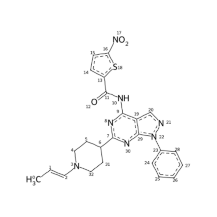 CC=CN1CCC(c2nc(NC(=O)c3ccc([N+](=O)[O-])s3)c3cnn(-c4ccccc4)c3n2)CC1